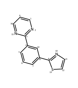 c1cnc(-c2cccc(-c3nccs3)c2)nc1